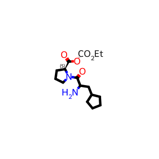 CCOC(=O)OC(=O)[C@@H]1CCCN1C(=O)C(N)CC1CCCC1